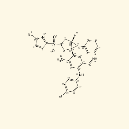 CCn1ncc(S(=O)(=O)N2C[C@@H]3[C@@H](c4ccccc4)[C@]3(c3cc(C=N)c(Nc4ccc(F)cc4)cc3C)C2)n1